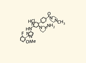 COc1cccc(F)c1-c1nccc(Nc2cc(N3CCC[C@H](N)C3)c(-c3ccc(C(=O)N4CCN(C)CC4)cc3)cn2)n1.Cl